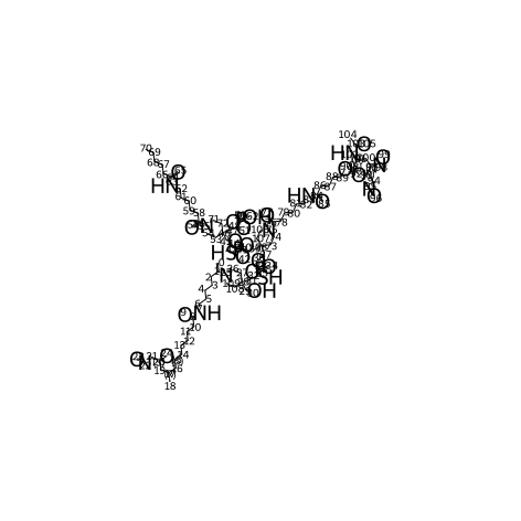 C=C(CCCCCNC(=O)CCCCC[C@H]1C[C@@H](C)C[C@@H](CN=O)O1)N1CCC(CO)(COP(=O)(S)OCC2(COP(=O)(S)OCC3(COP(C)(=O)O)CCN(C(=O)CCCCCNC(=O)CCCCC)CC3)CCN(C(=O)CCCCCNC(=O)CCCCO[C@@H]3O[C@H](CN=O)[C@H](N=O)C[C@H]3NC(C)=O)CC2)CC1